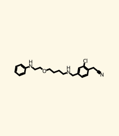 N#CCc1ccc(CNCCCCOCCNc2ccccc2)cc1Cl